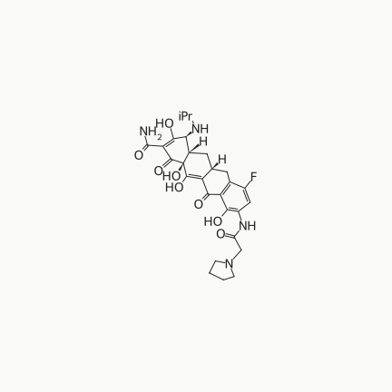 CC(C)N[C@@H]1C(O)=C(C(N)=O)C(=O)[C@@]2(O)C(O)=C3C(=O)c4c(O)c(NC(=O)CN5CCCC5)cc(F)c4C[C@H]3C[C@@H]12